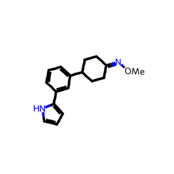 CON=C1CCC(c2cccc(-c3ccc[nH]3)c2)CC1